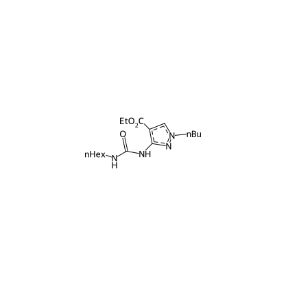 CCCCCCNC(=O)Nc1nn(CCCC)cc1C(=O)OCC